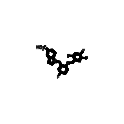 O=C(O)c1ccc2c(ccn2Cc2cc(F)ccc2OCc2cc(F)c(F)cc2F)c1